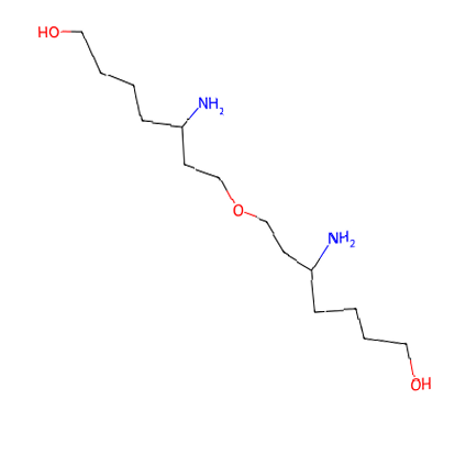 NC(CCCCO)CCOCCC(N)CCCCO